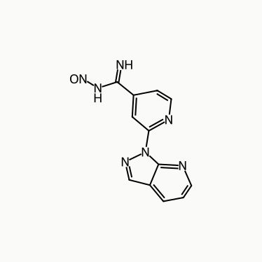 N=C(NN=O)c1ccnc(-n2ncc3cccnc32)c1